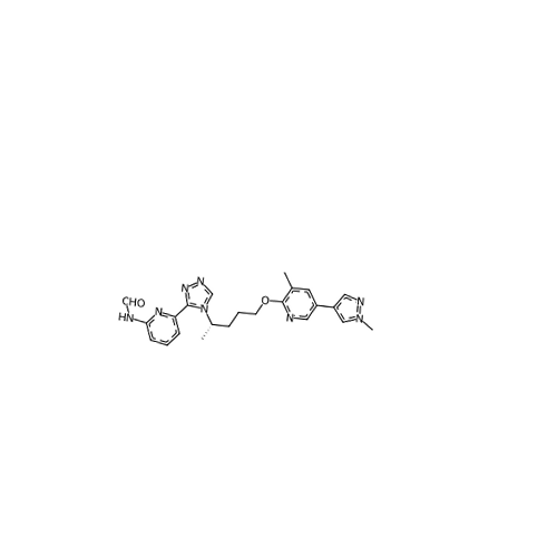 Cc1cc(-c2cnn(C)c2)cnc1OCCC[C@H](C)n1cnnc1-c1cccc(NC=O)n1